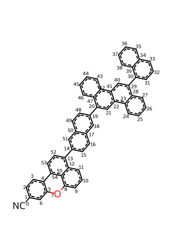 N#Cc1ccc2c(c1)Oc1cccc3c(-c4ccc5cc(-c6cc7c8ccccc8c(-c8cccc9ccccc89)cc7c7ccccc67)ccc5c4)ccc-2c13